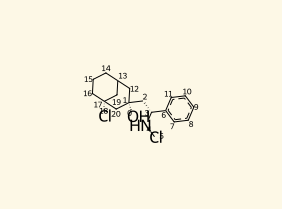 O[C@@]1(C[C@@H](NCl)c2ccccc2)CC2CCC[C@@](Cl)(C2)C1